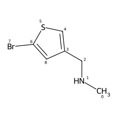 CNCc1csc(Br)c1